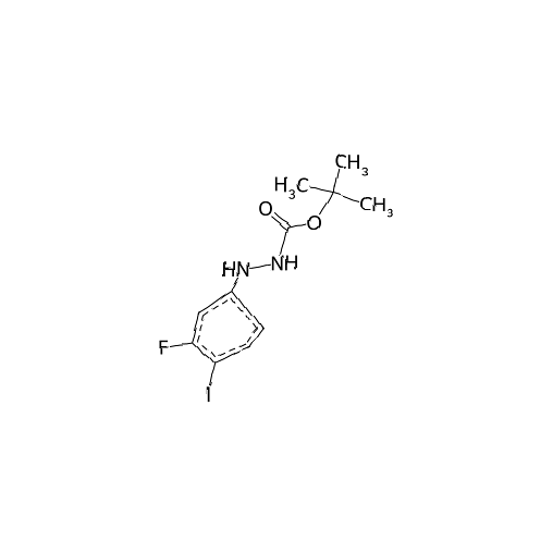 CC(C)(C)OC(=O)NNc1ccc(I)c(F)c1